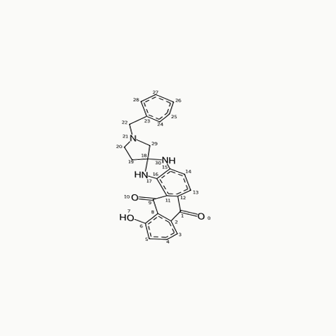 O=C1c2cccc(O)c2C(=O)c2c1ccc1c2NC2(CCN(Cc3ccccc3)C2)N1